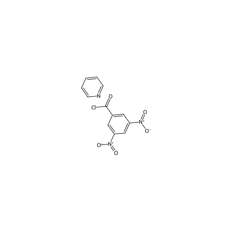 O=C(Cl)c1cc([N+](=O)[O-])cc([N+](=O)[O-])c1.c1ccncc1